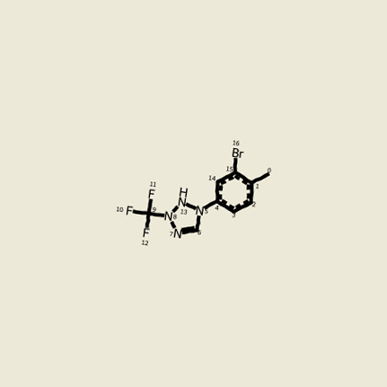 Cc1ccc(N2C=NN(C(F)(F)F)N2)cc1Br